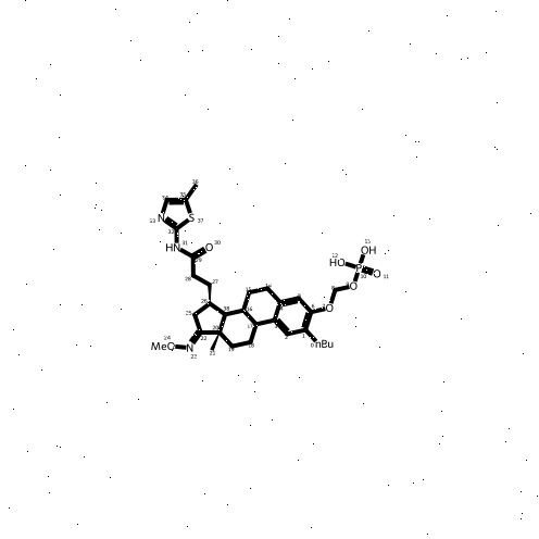 CCCCc1cc2c(cc1OCOP(=O)(O)O)CCC1C2CC[C@]2(C)/C(=N/OC)C[C@@H](CCC(=O)Nc3ncc(C)s3)C12